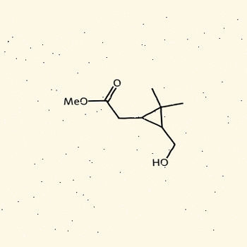 COC(=O)CC1C(CO)C1(C)C